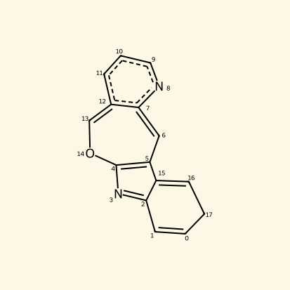 C1=CC2=NC3=C(C=c4ncccc4=CO3)C2=CC1